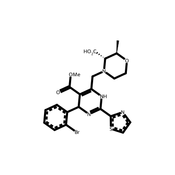 COC(=O)C1=C(CN2CCO[C@H](C)[C@H]2C(=O)O)NC(c2nccs2)=NC1c1ccccc1Br